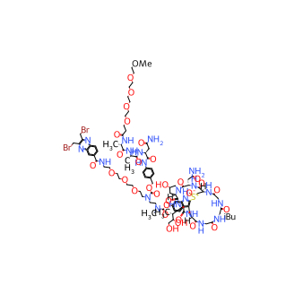 CC[C@H](C)[C@@H]1NC(=O)CNC(=O)[C@H]2Cc3c([nH]c4cc(OC(=O)N(C)CCN(CCOCCOCCOCCNC(=O)c5ccc6nc(CBr)c(CBr)nc6c5)C(=O)OCc5ccc(NC(=O)[C@H](CC(N)=O)NC(=O)[C@H](C)NC(=O)[C@H](C)NC(=O)CCOCCOCCOCCOCCOC)cc5)ccc34)[S+]([O-])C[C@H](NC(=O)CNC1=O)C(=O)N[C@@H](CC(N)=O)C(=O)N1C[C@H](O)C[C@H]1C(=O)N[C@@H]([C@@H](C)[C@@H](O)CO)C(=O)N2